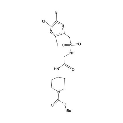 CC(C)(C)OC(=O)N1CCC(NC(=O)CNS(=O)(=O)Cc2cc(Br)c(Cl)cc2I)CC1